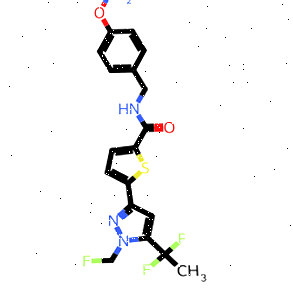 CC(F)(F)c1cc(-c2ccc(C(=O)NCc3ccc(ON)cc3)s2)nn1CF